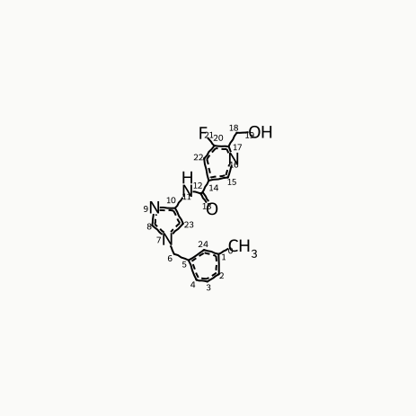 Cc1cccc(Cn2cnc(NC(=O)c3cnc(CO)c(F)c3)c2)c1